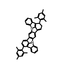 Cc1cc(C)c(-c2ccc3c4cc5c(cc4n4c6ccccc6c2c34)c2c3c(c4ccccc4n35)C(c3c(C)cc(C)cc3C)CC=2)c(C)c1